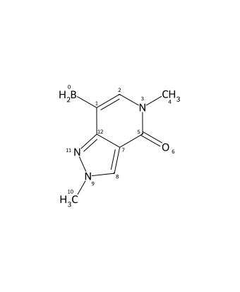 Bc1cn(C)c(=O)c2cn(C)nc12